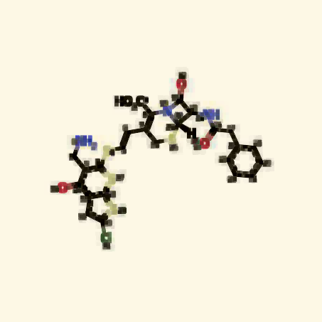 NCc1c(SC=CC2=C(C(=O)O)N3C(=O)C(NC(=O)Cc4ccccc4)[C@@H]3SC2)sc2sc(Cl)cc2c1=O